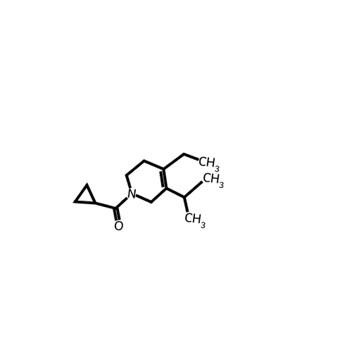 CCC1=C(C(C)C)CN(C(=O)C2CC2)CC1